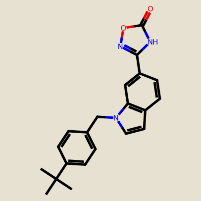 CC(C)(C)c1ccc(Cn2ccc3ccc(-c4noc(=O)[nH]4)cc32)cc1